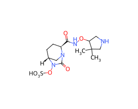 CC1(C)CNCC1ONC(=O)[C@@H]1CC[C@@H]2CN1C(=O)N2OS(=O)(=O)O